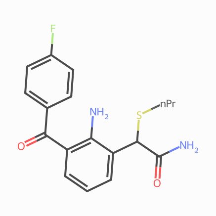 CCCSC(C(N)=O)c1cccc(C(=O)c2ccc(F)cc2)c1N